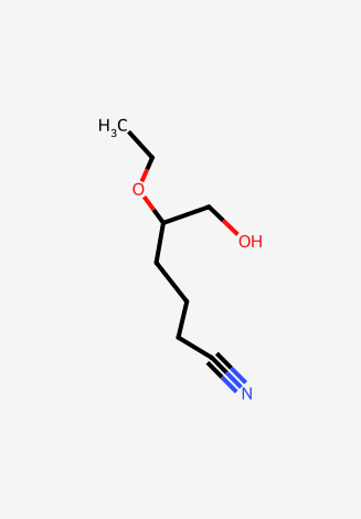 CCOC(CO)CCCC#N